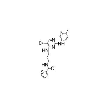 Cc1ccc(Nc2ncc(C3CC3)c(NCCCNC(=O)c3cccs3)n2)cn1